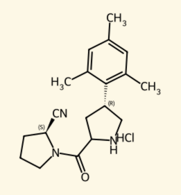 Cc1cc(C)c([C@@H]2CNC(C(=O)N3CCC[C@H]3C#N)C2)c(C)c1.Cl